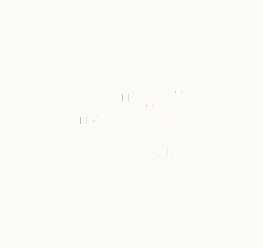 [CH2]c1oc(=O)oc1CC(C)C